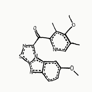 COc1ccc2nc3snc(C(=O)c4ncc(C)c(OC)c4C)n3c2c1